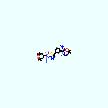 CN1CCC(C)(C)Oc2nnc3ccc(-c4cnc(NC(=O)C5CC(C)(C)OC(C)(C)C5)s4)cc3c21